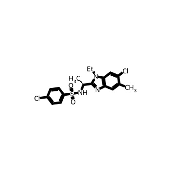 CCn1c([C@@H](C)NS(=O)(=O)c2ccc(Cl)cc2)nc2cc(C)c(Cl)cc21